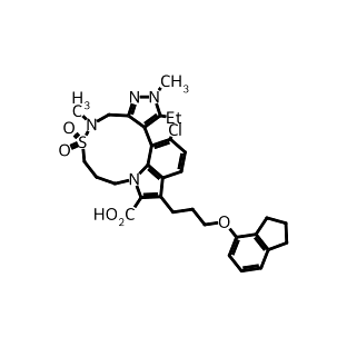 CCc1c2c(nn1C)CN(C)S(=O)(=O)CCCn1c(C(=O)O)c(CCCOc3cccc4c3CCC4)c3ccc(Cl)c-2c31